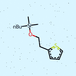 CCCC[Si](C)(C)OCCc1cccs1